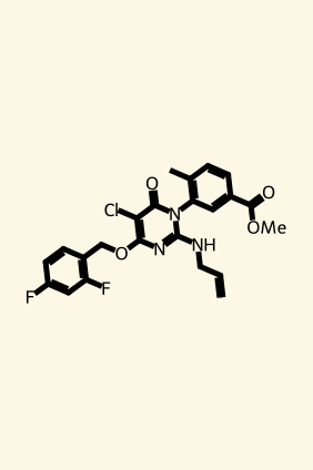 C=CCNc1nc(OCc2ccc(F)cc2F)c(Cl)c(=O)n1-c1cc(C(=O)OC)ccc1C